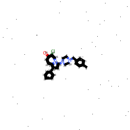 Cc1ccc(CN2CCN(c3cc(-c4ccccc4)c4ccc(=O)c(Cl)cn34)CC2)cc1